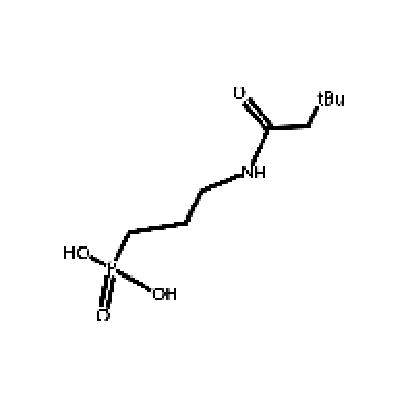 CC(C)(C)CC(=O)NCCCP(=O)(O)O